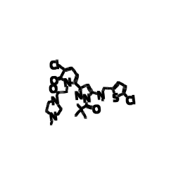 CN1CCN(C(=O)Cn2c(-c3cc(N(C)Cc4ccc(Cl)s4)n(C(=O)C(C)(C)C)n3)ccc(Cl)c2=O)CC1